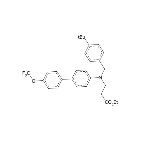 CCOC(=O)CCN(Cc1ccc(C(C)(C)C)cc1)c1ccc(-c2ccc(OC(F)(F)F)cc2)cc1